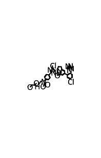 COCCOCCN(C(=O)O)c1ccc(-c2nc(Cl)c([C@@H]3CCc4cc(-c5cc(Cl)ccc5-n5cnnn5)cc(=O)n43)[nH]2)cc1